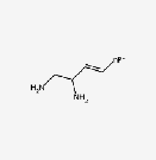 CCCC=CC(N)CN